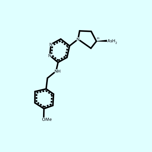 COc1ccc(CNc2cc(N3CC[C@@H]([AsH2])C3)cnn2)cc1